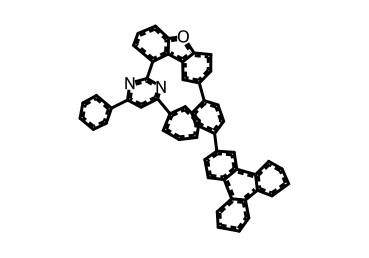 c1ccc(-c2cc(-c3ccccc3)nc(-c3cccc4oc5ccc(-c6ccc(-c7ccc8c9ccccc9c9ccccc9c8c7)cc6)cc5c34)n2)cc1